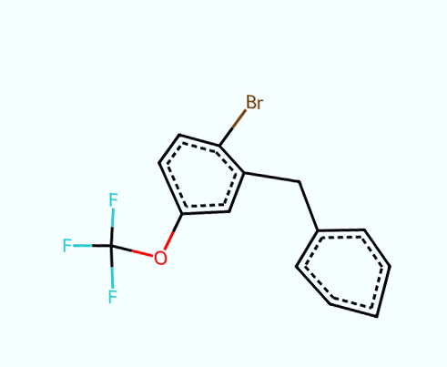 FC(F)(F)Oc1ccc(Br)c(Cc2ccccc2)c1